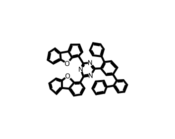 c1ccc(-c2ccccc2-c2ccc(-c3ccccc3)c(-c3nc(-c4cccc5c4oc4ccccc45)nc(-c4cccc5c4oc4ccccc45)n3)c2)cc1